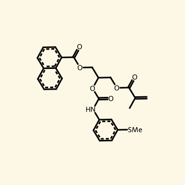 C=C(C)C(=O)OCC(COC(=O)c1cccc2ccccc12)OC(=O)Nc1cccc(SC)c1